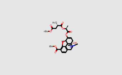 CCCCOC(=O)C[C@H](OC(C)=O)C(=O)O[C@@H](C)C(=O)OC1=CC[C@@]2(O)C3Cc4ccc(C(=O)OC(C)(C)C)c5c4[C@@]2(CCN3C)[C@H]1O5